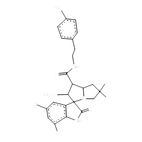 CC(C)(C)c1ccc(CCNC(=O)C2C3CC(F)(F)CN3C3(C(=O)Nc4c(Cl)cc(Cl)cc43)C2C(=O)O)cc1